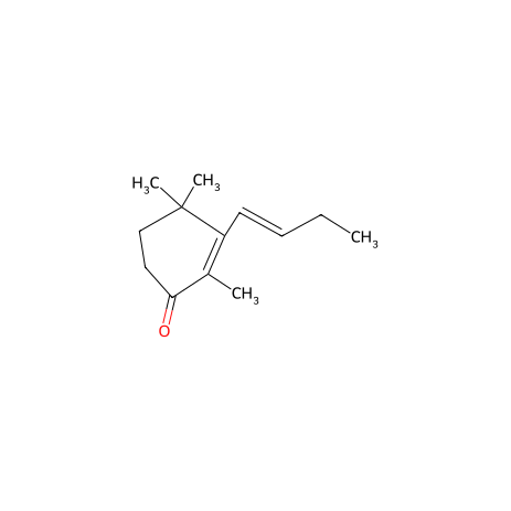 CCC=CC1=C(C)C(=O)CCC1(C)C